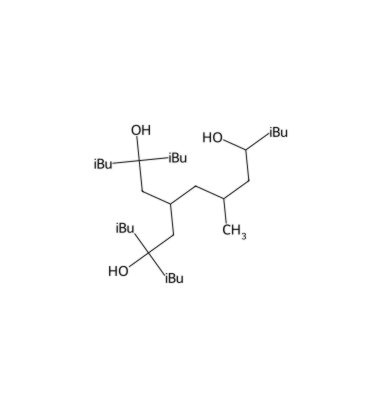 CCC(C)C(O)CC(C)CC(CC(O)(C(C)CC)C(C)CC)CC(O)(C(C)CC)C(C)CC